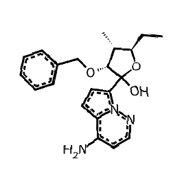 CC[C@H]1OC(O)(c2ccc3c(N)ccnn23)[C@H](OCc2ccccc2)[C@@H]1C